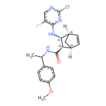 COc1ccc(C(C)NC(=O)[C@H]2[C@@H](Nc3nc(Cl)ncc3F)[C@H]3C=C[C@@H]2C3)cc1